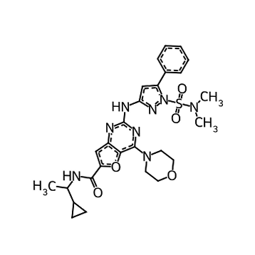 CC(NC(=O)c1cc2nc(Nc3cc(-c4ccccc4)n(S(=O)(=O)N(C)C)n3)nc(N3CCOCC3)c2o1)C1CC1